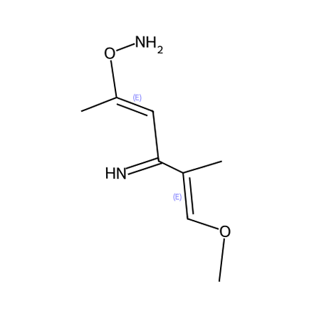 CO/C=C(\C)C(=N)/C=C(\C)ON